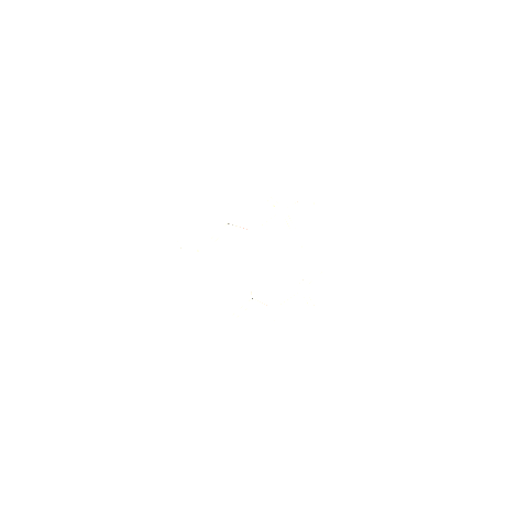 O=COS(=O)(=O)[O-].O=COS(=O)(=O)[O-].[Zn+2]